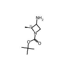 C[C@H]1C(N)CN1C(=O)OC(C)(C)C